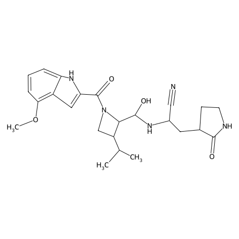 COc1cccc2[nH]c(C(=O)N3CC(C(C)C)C3C(O)NC(C#N)CC3CCNC3=O)cc12